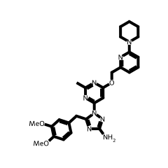 COc1ccc(Cc2nc(N)nn2-c2cc(OCc3cccc(N4CCCCC4)n3)nc(C)n2)cc1OC